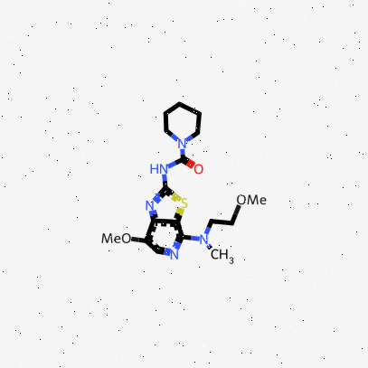 COCCN(C)c1ncc(OC)c2nc(NC(=O)N3CCCCC3)sc12